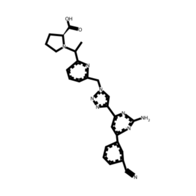 CC(c1cccc(Cn2cc(-c3cc(-c4cccc(C#N)c4)nc(N)n3)nn2)n1)N1CCC[C@H]1C(=O)O